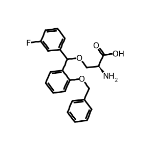 N[C@@H](COC(c1cccc(F)c1)c1ccccc1OCc1ccccc1)C(=O)O